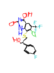 O=c1nc(O)c2cc(C(F)(F)F)c(Cl)c(SCC(CO)c3ccc(F)cc3)c2[nH]1